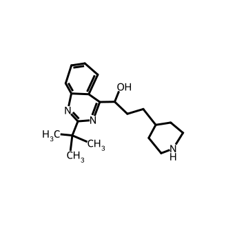 CC(C)(C)c1nc(C(O)CCC2CCNCC2)c2ccccc2n1